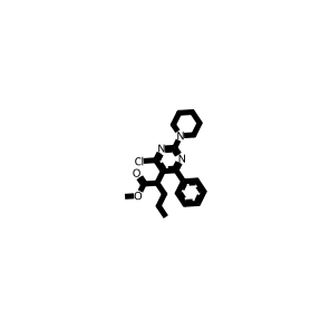 CCCC(C(=O)OC)c1c(Cl)nc(N2CCCCC2)nc1-c1ccccc1